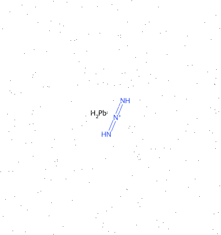 N=[N+]=N.[PbH2]